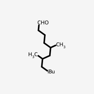 CCC(C)CC(C)CC(C)CCCC=O